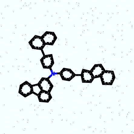 c1ccc2c(c1)-c1cccc3cc(N(c4ccc(-c5ccc6c(ccc7ccccc76)c5)cc4)c4ccc(-c5cccc6ccccc56)cc4)cc-2c13